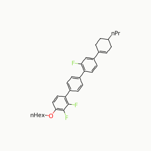 CCCCCCOc1ccc(-c2ccc(-c3ccc(C4=CCC(CCC)CC4)cc3F)cc2)c(F)c1F